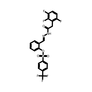 O=C(Cc1c(F)ccc(F)c1F)N/N=C/c1ccccc1OS(=O)(=O)c1ccc(C(F)(F)F)cc1